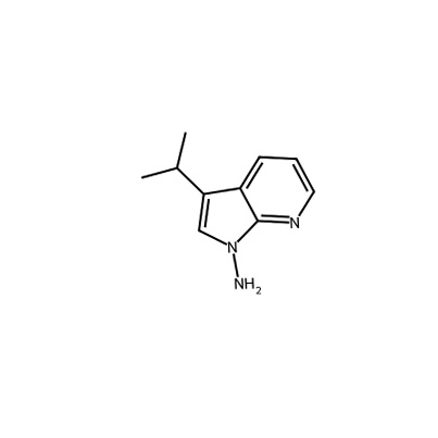 CC(C)c1cn(N)c2ncccc12